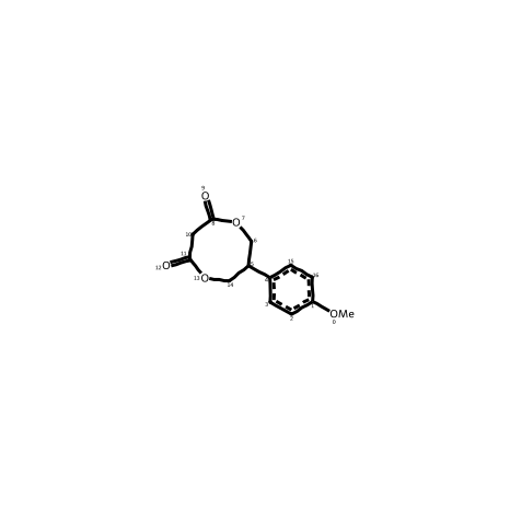 COc1ccc(C2COC(=O)CC(=O)OC2)cc1